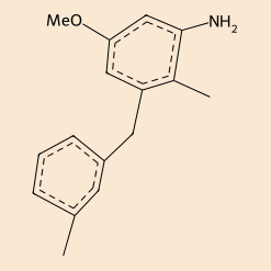 COc1cc(N)c(C)c(Cc2cccc(C)c2)c1